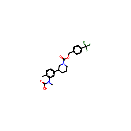 Cc1ccc(C2CCCN(C(=O)OCc3ccc(C(F)(F)F)cc3)C2)cc1N(C)C(=O)O